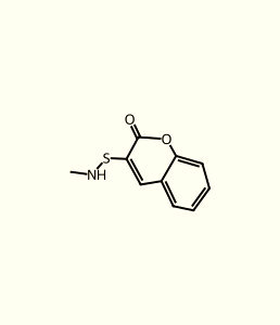 CNSc1cc2ccccc2oc1=O